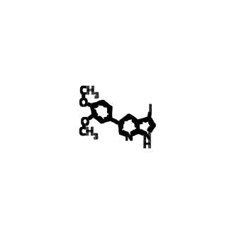 COc1ccc(-c2cnc3[nH]cc(I)c3c2)cc1OC